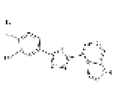 CCOc1ccc(-c2nc(-c3cccc4[nH]ccc34)no2)cc1O